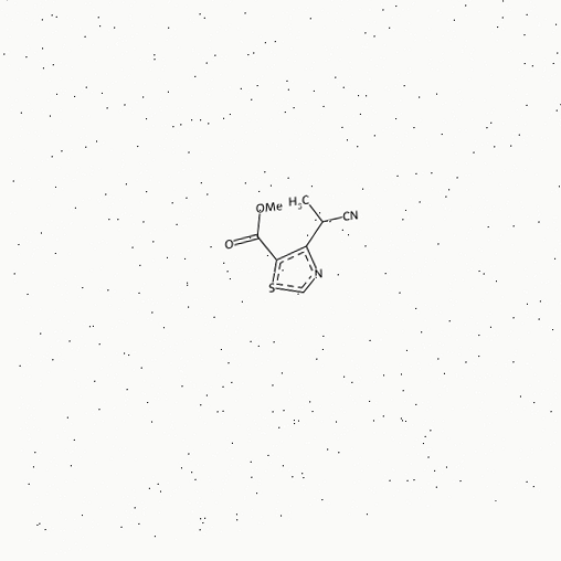 COC(=O)c1scnc1C(C)C#N